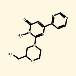 CCC1CN(c2nc(-c3ccncn3)cc(=O)n2C)CCO1